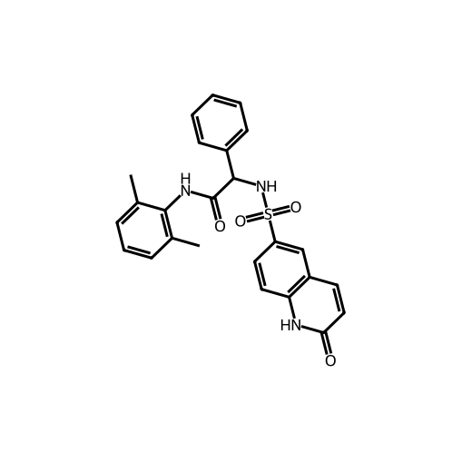 Cc1cccc(C)c1NC(=O)C(NS(=O)(=O)c1ccc2[nH]c(=O)ccc2c1)c1ccccc1